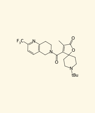 CC1=C(C(=O)N2CCc3nc(C(F)(F)F)ccc3C2)C2(CCN(C(C)(C)C)CC2)OC1=O